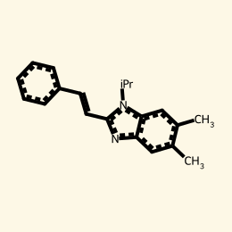 Cc1cc2nc(/C=C/c3ccccc3)n(C(C)C)c2cc1C